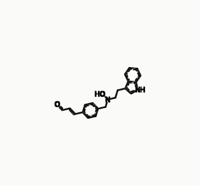 O=CC=Cc1ccc(CN(O)CCc2c[nH]c3ccccc23)cc1